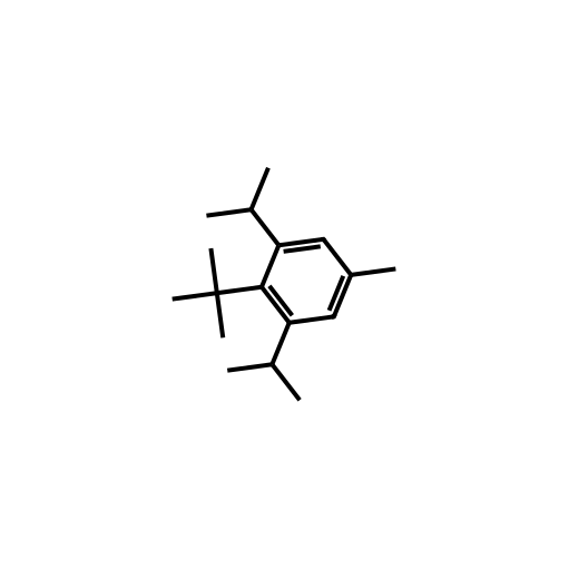 Cc1cc(C(C)C)c(C(C)(C)C)c(C(C)C)c1